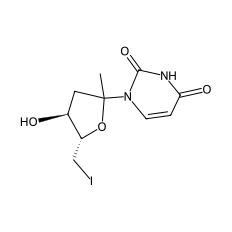 CC1(n2ccc(=O)[nH]c2=O)C[C@H](O)[C@@H](CI)O1